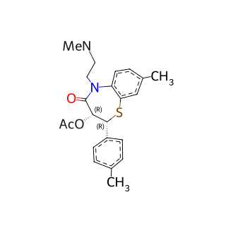 CNCCN1C(=O)[C@@H](OC(C)=O)[C@@H](c2ccc(C)cc2)Sc2cc(C)ccc21